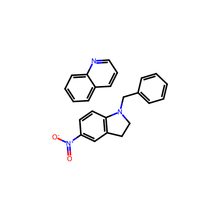 O=[N+]([O-])c1ccc2c(c1)CCN2Cc1ccccc1.c1ccc2ncccc2c1